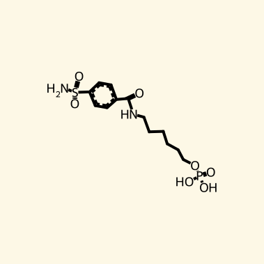 NS(=O)(=O)c1ccc(C(=O)NCCCCCCOP(=O)(O)O)cc1